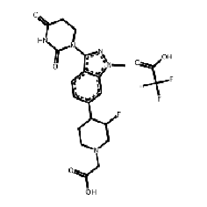 Cn1nc(N2CCC(=O)NC2=O)c2ccc(C3CCN(CC(=O)O)CC3F)cc21.O=C(O)C(F)(F)F